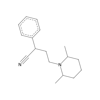 CC1CCCC(C)N1CCC(C#N)c1ccccc1